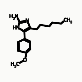 CCCCCCc1nc(N)[nH]c1-c1ccc(OC)cc1